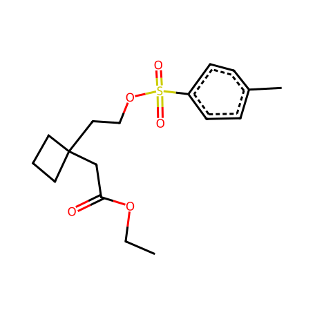 CCOC(=O)CC1(CCOS(=O)(=O)c2ccc(C)cc2)CCC1